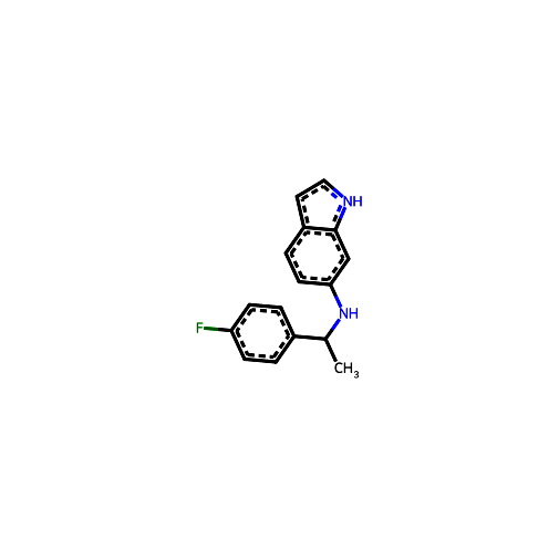 CC(Nc1ccc2cc[nH]c2c1)c1ccc(F)cc1